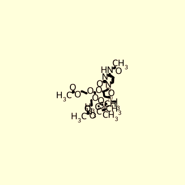 CC(=O)Nc1ccn([C@@H]2O[C@H](CI)C(O[Si](C)(C)C(C)(C)C)C2OC(OCCOC(C)=O)OCCOC(C)=O)c(=O)n1